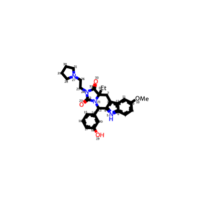 CCC12Cc3c([nH]c4ccc(OC)cc34)C(c3cccc(O)c3)N1C(=O)N(CCN1CCCC1)C2=O